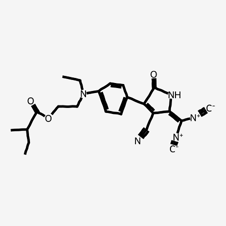 [C-]#[N+]C([N+]#[C-])=C1NC(=O)C(c2ccc(N(CC)CCOC(=O)C(C)CC)cc2)=C1C#N